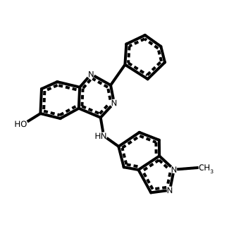 Cn1ncc2cc(Nc3nc(-c4ccccc4)nc4ccc(O)cc34)ccc21